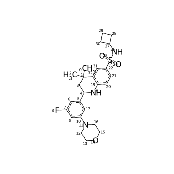 CC1(C)CC(c2cc(F)cc(N3CCOCC3)c2)Nc2ccc(S(=O)(=O)NC3CCC3)cc21